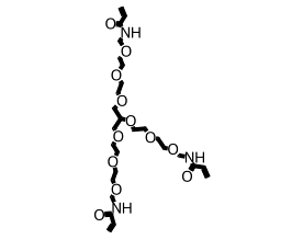 C=CC(=O)NCOCCOCCOCC(COCCOCCOCNC(=O)C=C)OCCOCCOCNC(=O)C=C